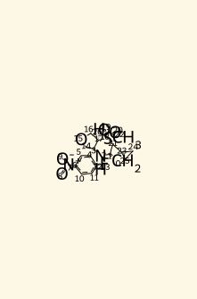 C=C1N[C@@]2(c3cc([N+](=O)[O-])ccc3F)COC[C@H]2S(=O)(=O)[C@]1(C)C1CC1